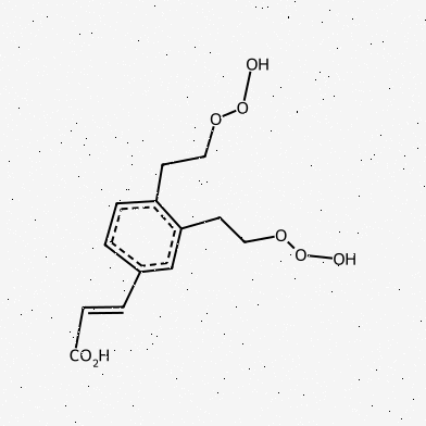 O=C(O)/C=C/c1ccc(CCOOO)c(CCOOO)c1